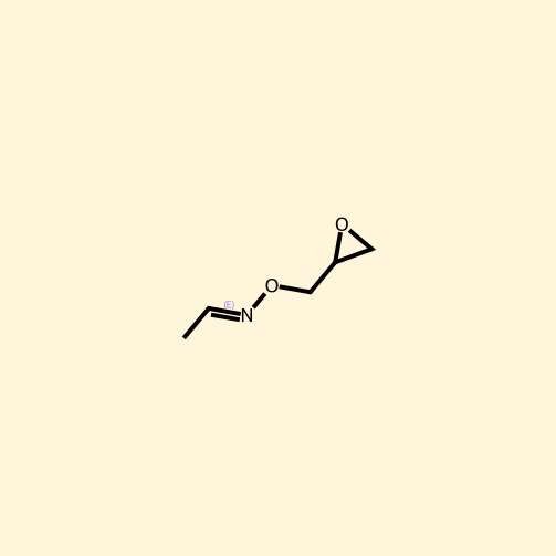 C/C=N/OCC1CO1